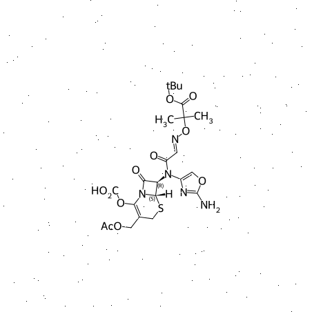 CC(=O)OCC1=C(OC(=O)O)N2C(=O)[C@@H](N(C(=O)C=NOC(C)(C)C(=O)OC(C)(C)C)c3coc(N)n3)[C@@H]2SC1